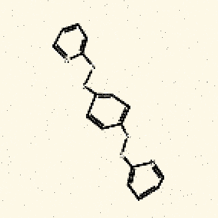 c1ccc(SSc2ccc(SSc3ccccn3)cc2)nc1